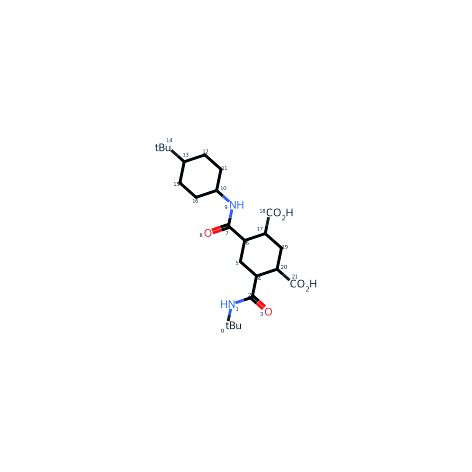 CC(C)(C)NC(=O)C1CC(C(=O)NC2CCC(C(C)(C)C)CC2)C(C(=O)O)CC1C(=O)O